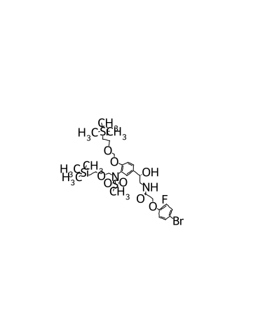 C[Si](C)(C)CCOCOc1ccc([C@H](O)CNC(=O)COc2ccc(Br)cc2F)cc1N(COCC[Si](C)(C)C)S(C)(=O)=O